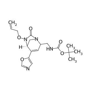 C=CCON1C(=O)N2C[C@H]1C(c1cnco1)=CC2CNC(=O)OC(C)(C)C